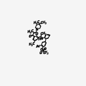 CC(=O)c1cc(-c2ccccc2N[C@H](C)c2cc(C)cc3c(=O)c(C)c(N4CCC(C)(C)CC4)oc23)ccc1OS(=O)(=O)C(F)(F)F